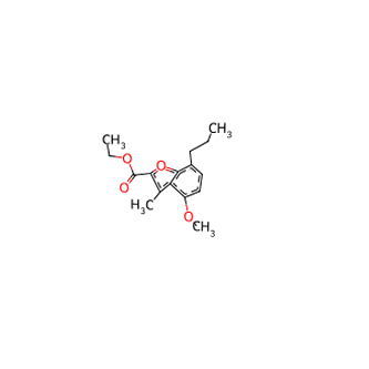 CCCc1ccc(OC)c2c(C)c(C(=O)OCC)oc12